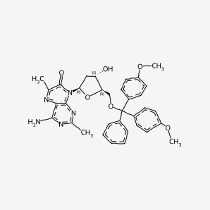 COc1ccc(C(OC[C@H]2O[C@@H](n3c(=O)c(C)nc4c(N)nc(C)nc43)C[C@@H]2O)(c2ccccc2)c2ccc(OC)cc2)cc1